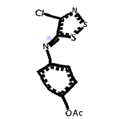 CC(=O)Oc1ccc(/N=c2\ssnc2Cl)cc1